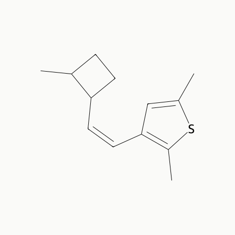 Cc1cc(/C=C\C2CCC2C)c(C)s1